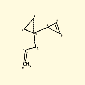 C=CCC1(C2C=C2)CC1